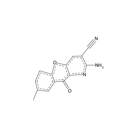 Cc1ccc2oc3cc(C#N)c(N)nc3c(=O)c2c1